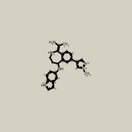 C/C(N)=C1/NCCC(Nc2ccc3[nH]ccc3c2)c2cc(-c3cnn(C)c3)ccc21